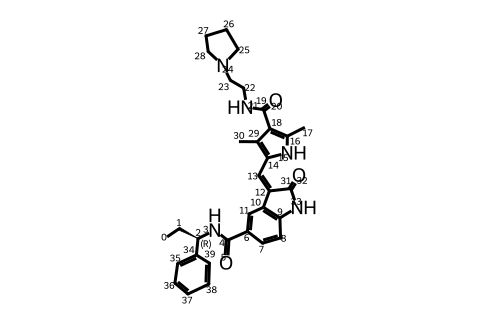 CC[C@@H](NC(=O)c1ccc2c(c1)C(=Cc1[nH]c(C)c(C(=O)NCCN3CCCC3)c1C)C(=O)N2)c1ccccc1